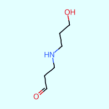 O=CCCNCCCO